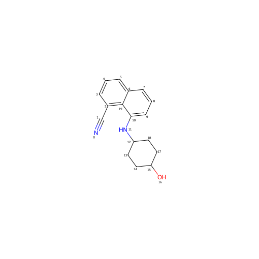 N#Cc1cccc2cccc(NC3CCC(O)CC3)c12